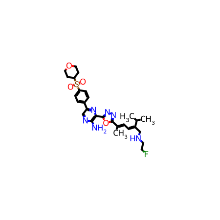 C/C(=C\C=C(\CNCCF)C(C)C)c1nnc(-c2nc(-c3ccc(S(=O)(=O)C4CCOCC4)cc3)cnc2N)o1